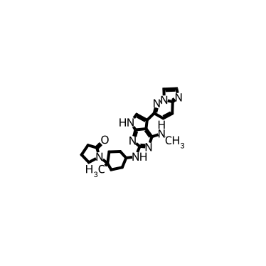 CNc1nc(NC2CCC(C)(N3CCCC3=O)CC2)nc2[nH]cc(-c3ccc4nccn4n3)c12